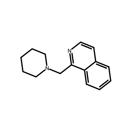 c1ccc2c(CN3CCCCC3)nccc2c1